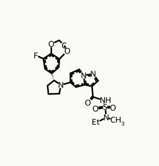 CCN(C)S(=O)(=O)NC(=O)c1cnn2ccc(N3CCC[C@@H]3c3cc(F)c4c(c3)OCCO4)cc12